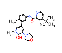 Cc1ccc(NC(=O)c2cc(C(C)(C)C#N)ccn2)cc1C1=CN(C)C(O)C(N2CCOCC2)=C1